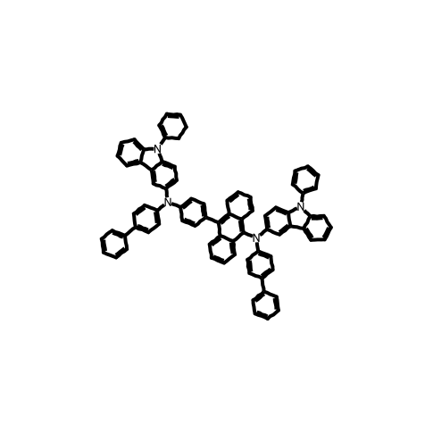 C1=CCCC(n2c3ccccc3c3cc(N(c4ccc(-c5ccccc5)cc4)c4ccc(-c5c6ccccc6c(N(c6ccc(-c7ccccc7)cc6)c6ccc7c(c6)c6ccccc6n7-c6ccccc6)c6ccccc56)cc4)ccc32)=C1